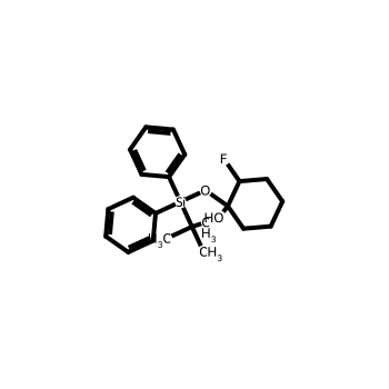 CC(C)(C)[Si](OC1(O)CCCCC1F)(c1ccccc1)c1ccccc1